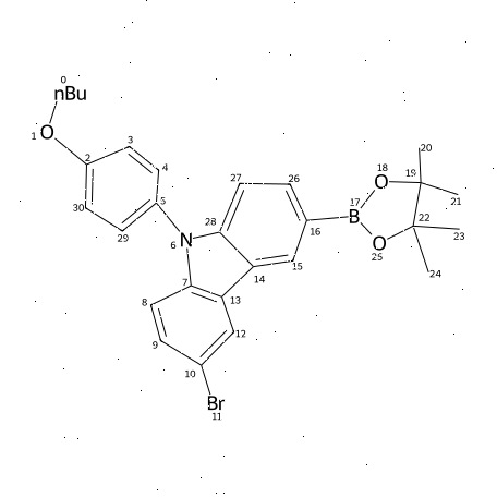 CCCCOc1ccc(-n2c3ccc(Br)cc3c3cc(B4OC(C)(C)C(C)(C)O4)ccc32)cc1